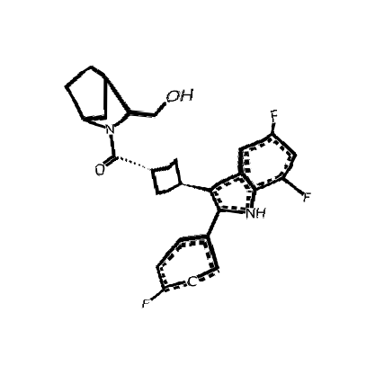 O=C([C@H]1C[C@H](c2c(-c3ccc(F)cc3)[nH]c3c(F)cc(F)cc32)C1)N1C2CCC(C2)C1CO